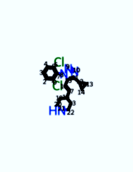 Clc1cccc(Cl)c1-n1nnc(C2CC2)c1C=CC1CCNCC1